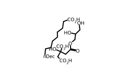 CCCCCCCCCCCCCCCCCC(=O)O.O=C(O)CC(O)(CC(=O)OCC(O)CO)C(=O)O